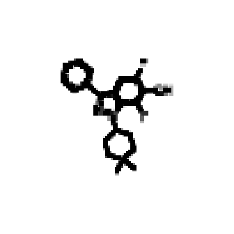 CC1(C)CCC(n2nc(-c3ccccc3)c3cc(F)c(O)c(F)c32)CC1